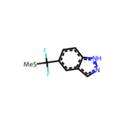 CSC(F)(F)c1ccc2[nH]ncc2c1